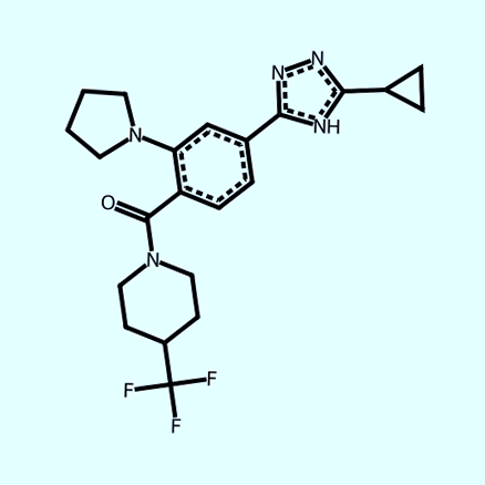 O=C(c1ccc(-c2nnc(C3CC3)[nH]2)cc1N1CCCC1)N1CCC(C(F)(F)F)CC1